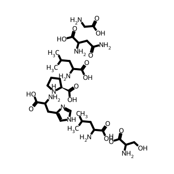 CC(C)CC(N)C(=O)O.CC(C)CC(N)C(=O)O.NC(=O)CC(N)C(=O)O.NC(CO)C(=O)O.NC(Cc1c[nH]cn1)C(=O)O.NCC(=O)O.O=C(O)[C@@H]1CCCN1